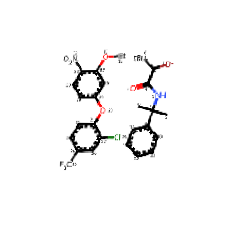 CC(C)(NC(=O)C(Br)C(C)(C)C)c1ccccc1.CCOc1cc(Oc2ccc(C(F)(F)F)cc2Cl)ccc1[N+](=O)[O-]